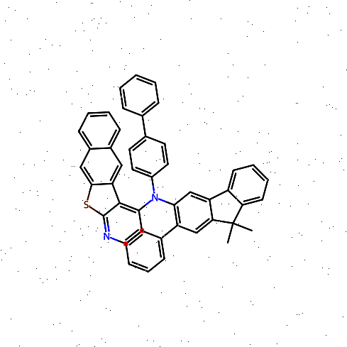 CC1(C)c2ccccc2-c2cc(N(c3ccc(-c4ccccc4)cc3)c3ccnc4sc5cc6ccccc6cc5c34)c(-c3ccccc3)cc21